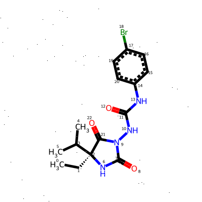 CC[C@@]1(C(C)C)NC(=O)N(NC(=O)Nc2ccc(Br)cc2)C1=O